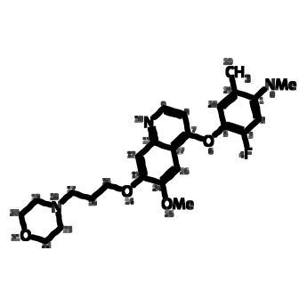 CNc1cc(F)c(Oc2ccnc3cc(OCCCN4CCOCC4)c(OC)cc23)cc1C